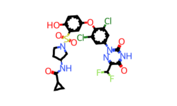 O=C(N[C@H]1CCN(S(=O)(=O)c2cc(Oc3c(Cl)cc(-n4nc(C(F)F)c(=O)[nH]c4=O)cc3Cl)ccc2O)C1)C1CC1